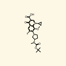 COc1c(N2CC[C@@H](N(C)C(=O)OC(C)(C)C)C2)c(F)cc2c(=O)c(C(=O)O)cn(C3CC3)c12